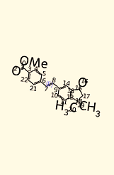 COC(=O)c1ccc(/C=C/c2ccc3c(c2)C(=O)CC3(C)C)cc1